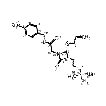 C=CCS[C@@H]1[C@@H](CCO[Si](C)(C)C(C)(C)C)C(=O)N1CC(=O)OCc1ccc([N+](=O)[O-])cc1